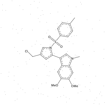 COc1cc2c(-c3cc(CCl)cn3S(=O)(=O)c3ccc(C)cc3)cn(C)c2cc1OC